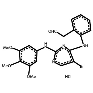 COc1cc(Nc2ncc(Br)c(Nc3ccccc3CC=O)n2)cc(OC)c1OC.Cl